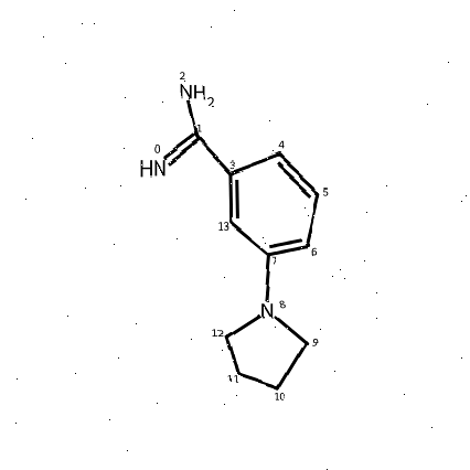 N=C(N)c1cccc(N2CCCC2)c1